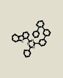 c1ccc(-c2nc(-c3cccc(-c4cccc(-c5ccccc5-c5ccccc5)c4)c3)nc(-c3cccc4c3sc3ccccc34)n2)cc1